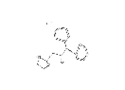 Cl.SC(CC1=NCCN1)C(c1ccccc1)c1ccccc1